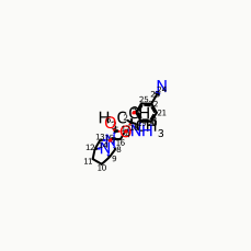 CC(C)(C)OC(=O)N1CC2CCC(C1)N2CCCNc1ccc(C#N)cc1